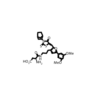 COc1cc(OC)cc(-c2cc(CCCNC(=O)[C@@H](N)CC(=O)O)c(C=C3SC(=S)N(C4CC5CCC4C5)C3=O)o2)c1